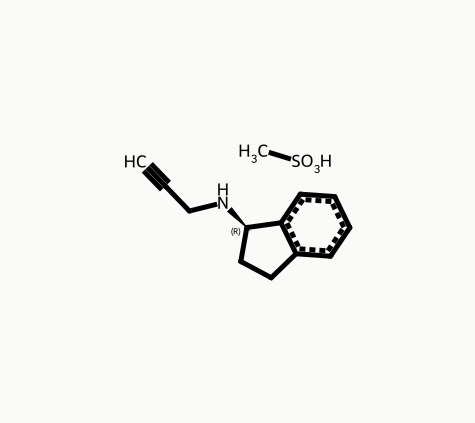 C#CCN[C@@H]1CCc2ccccc21.CS(=O)(=O)O